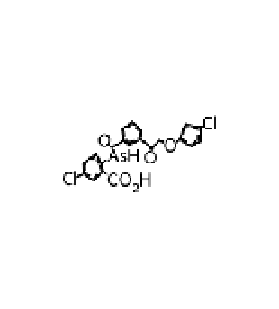 O=C(COc1ccc(Cl)cc1)c1cccc(C(=O)[AsH]c2ccc(Cl)cc2C(=O)O)c1